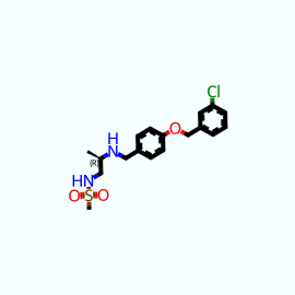 C[C@H](CNS(C)(=O)=O)NCc1ccc(OCc2cccc(Cl)c2)cc1